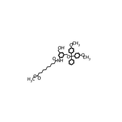 COC(=O)CCCCCCCCC(=O)Nc1cc(CO)cc(COC(c2ccccc2)(c2ccc(OC)cc2)c2ccc(OC)cc2)c1